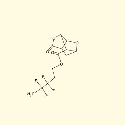 CC(F)(F)C(F)(F)CCOC(=O)C1C2CC3C(=O)OC1C3O2